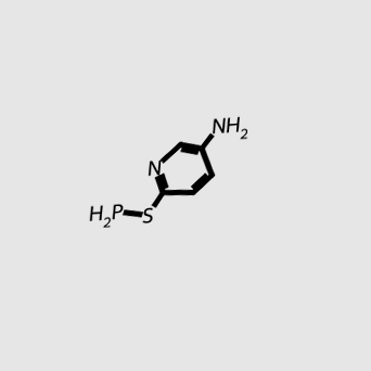 Nc1ccc(SP)nc1